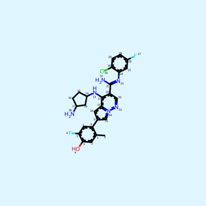 Cc1cc(O)c(F)cc1-c1cc2c(NC3CCC(N)C3)c(/C(N)=N/c3cc(F)ccc3Cl)cnn2c1